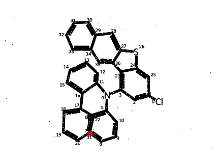 Clc1cc(N(c2ccccc2)c2ccccc2-c2ccccc2)c2c(c1)sc1cc3ccccc3cc12